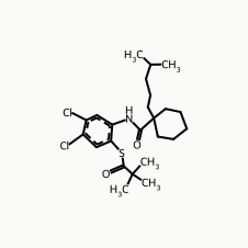 CC(C)CCCC1(C(=O)Nc2cc(Cl)c(Cl)cc2SC(=O)C(C)(C)C)CCCCC1